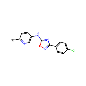 N#Cc1ccc(Nc2nc(-c3ccc(Cl)cc3)no2)cn1